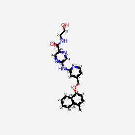 Cc1ccc(OCc2ccnc(Nc3cnc(C(=O)NCCO)cn3)c2)c2ccccc12